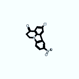 O=C1CCn2c3ccc([N+](=O)[O-])cc3c3cc(Cl)cc1c32